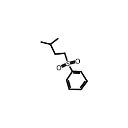 CC(C)CCS(=O)(=O)c1ccccc1